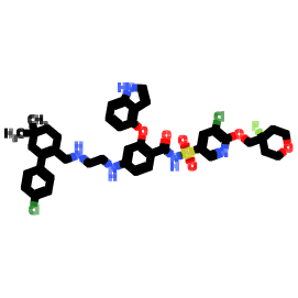 CC1(C)CCC(CNCCNc2ccc(C(=O)NS(=O)(=O)c3cnc(OCC4(F)CCOCC4)c(Cl)c3)c(Oc3cccc4[nH]ccc34)c2)=C(c2ccc(Cl)cc2)C1